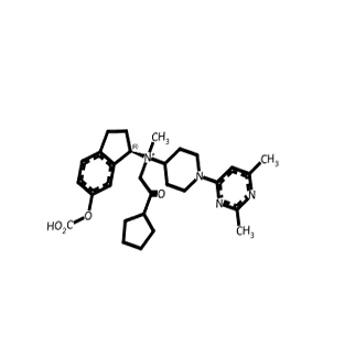 Cc1cc(N2CCC([N+](C)(CC(=O)C3CCCC3)[C@@H]3CCc4ccc(OC(=O)O)cc43)CC2)nc(C)n1